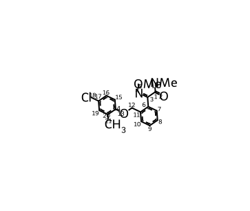 CNC(=O)/C(=N\OC)c1ccccc1COc1ccc(Cl)cc1C